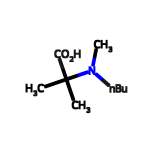 CCCCN(C)C(C)(C)C(=O)O